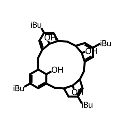 CCC(C)C1=CC2CC3=CC(C(C)CC)=CC(CC4C=C(C(C)CC)C=C(CC5C=C(C(C)CC)CC(CC(=C1)C2O)C5O)C4O)C3O